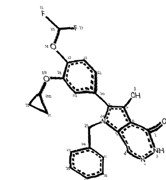 O=c1[nH]ncc2c1c(O)c(-c1ccc(OC(F)F)c(OC3CC3)c1)n2Cc1ccccc1